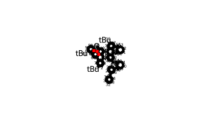 CC(C)(C)c1ccc(N2c3cc4c(cc3B3c5cc(C(C)(C)C)cc6c5N(c5cc(N7c8ccc(-c9ccccc9)cc8C8(C)CCCCC78C)cc2c53)C2(C)CCCCC62C)oc2ccc(C(C)(C)C)cc24)c(-c2ccccc2)c1